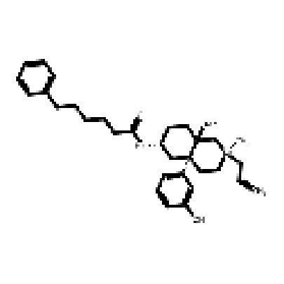 C=CC[N@@+]1(C)CC[C@@]2(c3cccc(O)c3)C[C@H](NC(=O)CCCCCc3ccccc3)CCC2(OC(C)=O)C1